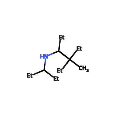 CCC(CC)NC(CC)C(C)(CC)CC